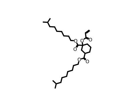 C=CC(=O)OC1(C(=O)OCCCCCCCC(C)C)CCCC(C(=O)OCCCCCCCC(C)C)C1